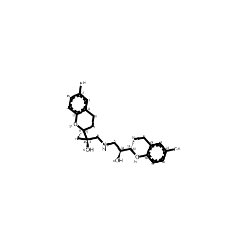 O[C@@H](CNC[C@]1(O)C[C@]12CCc1cc(F)ccc1O2)[C@@H]1CCc2cc(F)ccc2O1